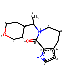 CC(C1CCOCC1)N1CCCc2cc[nH]c2C1=O